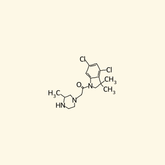 CC1CN(CC(=O)N2CC(C)(C)c3c(Cl)cc(Cl)cc32)CCN1